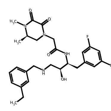 CCc1cccc(CNC[C@H](O)[C@H](Cc2cc(F)cc(F)c2)NC(=O)CN2C[C@@H](C)N(C)C(=O)C2=O)c1